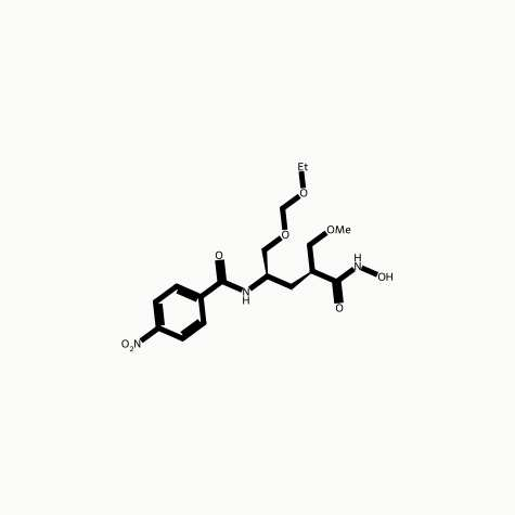 CCOCOC[C@@H](C[C@@H](COC)C(=O)NO)NC(=O)c1ccc([N+](=O)[O-])cc1